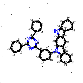 c1ccc(-c2nc(-c3ccccc3)nc(-c3cccc(-n4c5ccccc5c5cc6c(cc54)[nH]c4ccccc46)c3)n2)cc1